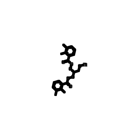 [CH2]COC[C](OOC(=O)c1cccc(C)c1C)OOC(=O)c1cccc(C)c1C